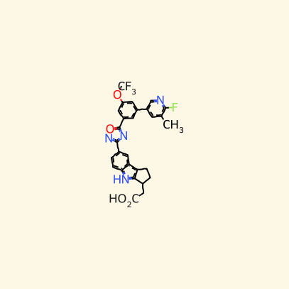 Cc1cc(-c2cc(OC(F)(F)F)cc(-c3nc(-c4ccc5[nH]c6c(c5c4)CCC6CC(=O)O)no3)c2)cnc1F